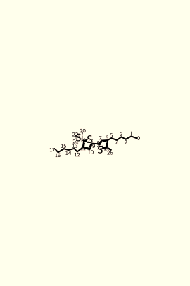 CCCCCCc1cc(-c2cc(CCCCCC)c([Si](C)(C)C)s2)sc1C